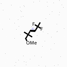 COCC(C)(C)/C=C/C(C)(F)F